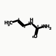 CC=CNC(N)=O